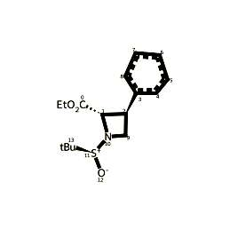 CCOC(=O)[C@@H]1[C@@H](c2ccccc2)CN1[S@@+]([O-])C(C)(C)C